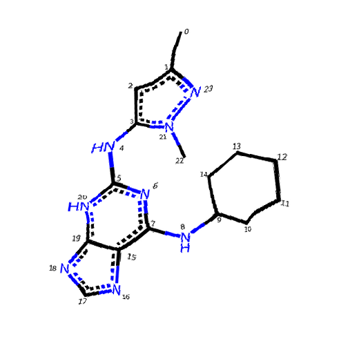 Cc1cc(Nc2nc(NC3CCCCC3)c3ncnc-3[nH]2)n(C)n1